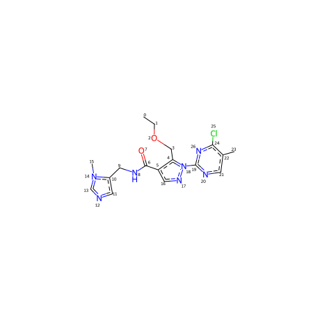 CCOCc1c(C(=O)NCc2cncn2C)cnn1-c1ncc(C)c(Cl)n1